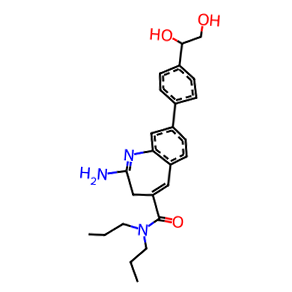 CCCN(CCC)C(=O)C1=Cc2ccc(-c3ccc(C(O)CO)cc3)cc2N=C(N)C1